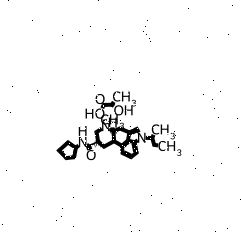 CC(O)C(=O)O.CCC(C)n1cc2c3c(cccc31)C1C[C@@H](C(=O)NC3CCCC3)CN(C)[C@@H]1C2